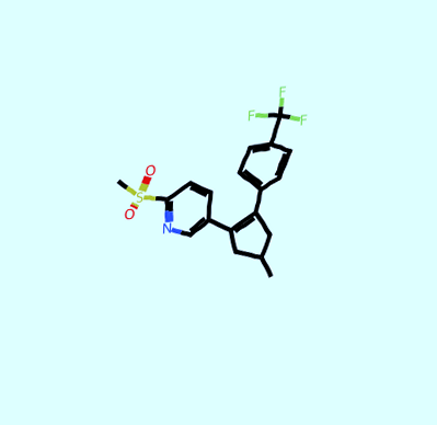 CC1CC(c2ccc(C(F)(F)F)cc2)=C(c2ccc(S(C)(=O)=O)nc2)C1